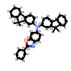 CC1(C)c2ccccc2-c2ccc(N(c3ccc4c(c3)C(C)(C)c3ccccc3-4)c3ccc4nc(-c5ccccc5)oc4c3)cc21